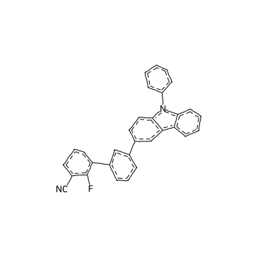 N#Cc1cccc(-c2cccc(-c3ccc4c(c3)c3ccccc3n4-c3ccccc3)c2)c1F